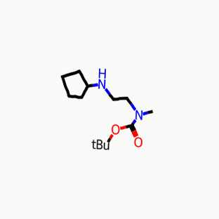 CN(CCNC1CCCC1)C(=O)OC(C)(C)C